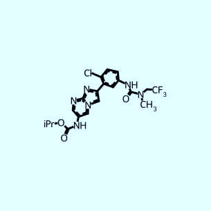 CC(C)OC(=O)Nc1cnc2nc(-c3cc(NC(=O)N(C)CC(F)(F)F)ccc3Cl)cn2c1